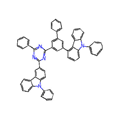 c1ccc(-c2cc(-c3nc(-c4ccccc4)nc(-c4ccc5c(c4)c4ccccc4n5-c4ccccc4)n3)cc(-c3cccc4c3c3ccccc3n4-c3ccccc3)c2)cc1